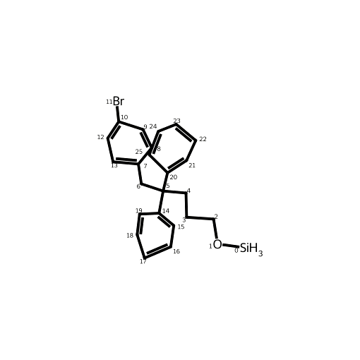 [SiH3]OCCCC(Cc1ccc(Br)cc1)(c1ccccc1)c1ccccc1